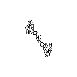 C[C@H]1CN(c2ccc3nc([C@@H]4CCCN4C(=O)OC(C)(C)C)[nH]c3c2)CCN1c1ccc2nc([C@@H]3CCCN3C(=O)OC(C)(C)C)[nH]c2c1